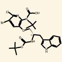 CC(C)(C)OC(=O)N[C@H](COc1cc(Br)c(Cl)nc1N(C(=O)O)C(C)(C)C)Cc1c[nH]c2ccccc12